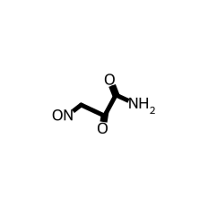 NC(=O)C(=O)CN=O